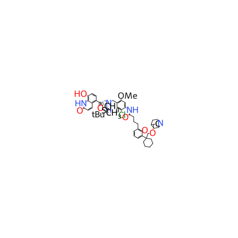 COc1cc(NC(=O)CCCc2cccc(C3(C(=O)OC4CN5CCC4CC5)CCCCC3)c2)c(Cl)cc1CNC[C@H](O[Si](C)(C)C(C)(C)C)c1ccc(O)c2[nH]c(=O)ccc12